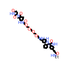 CCNC(=O)C#Cc1ccc2c(c1)NC(=O)/C2=C(\Nc1ccc(CNCCOCCOCCOCCOCC(=O)Nc2ccc3c(c2)CN(C2CCC(=O)NC2=O)C3=O)cc1)c1ccccc1